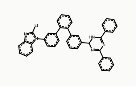 CCc1nc2ccccc2n1-c1cccc(-c2ccccc2-c2cccc(C3N=C(c4ccccc4)N=C(c4ccccc4)N3)c2)c1